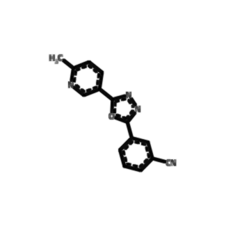 Cc1ccc(-c2nnc(-c3cccc(C#N)c3)o2)cn1